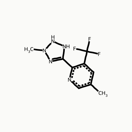 Cc1cnc(C2=NN(C)NN2)c(C(F)(F)F)c1